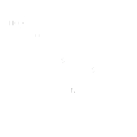 CC(CSc1nc2ccccc2s1)OC(=O)O